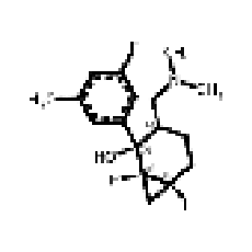 Cc1cc(F)cc([C@]2(O)[C@@H](CN(C)C)CC[C@@H]3C[C@@H]32)c1